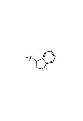 [CH2]C1CNc2ccccc21